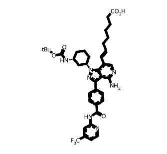 CC(C)(C)OC(=O)N[C@@H]1CCC[C@@H](n2nc(-c3ccc(C(=O)Nc4cc(C(F)(F)F)ccn4)cc3)c3c(N)ncc(/C=C/CCCCCC(=O)O)c32)C1